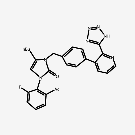 CCCCc1cn(-c2c(F)cccc2C(C)=O)c(=O)n1Cc1ccc(-c2cccnc2-c2nnn[nH]2)cc1